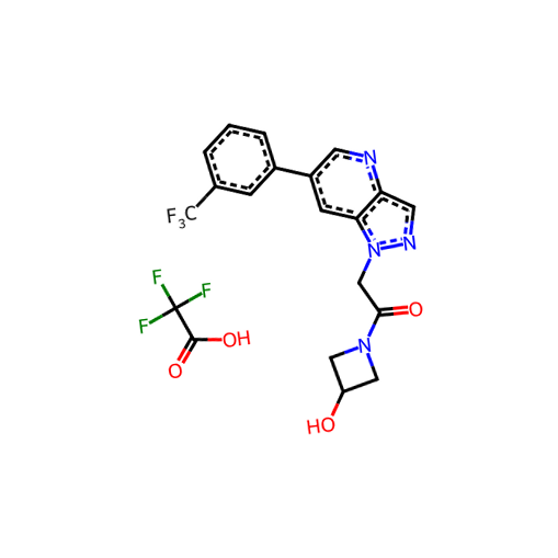 O=C(Cn1ncc2ncc(-c3cccc(C(F)(F)F)c3)cc21)N1CC(O)C1.O=C(O)C(F)(F)F